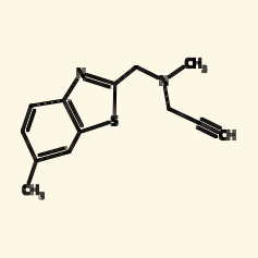 C#CCN(C)Cc1nc2ccc(C)cc2s1